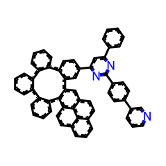 c1ccc(-c2cc(-c3ccc4c5ccccc5c5ccccc5c5ccccc5c5c(cc6ccc7cccc8ccc5c6c78)c4c3)nc(-c3ccc(-c4cccnc4)cc3)n2)cc1